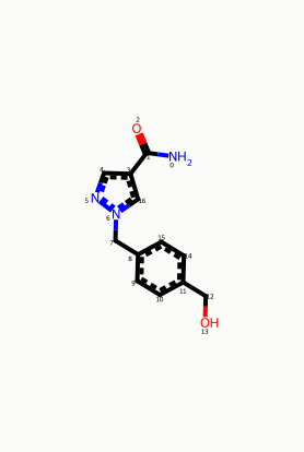 NC(=O)c1cnn(Cc2ccc(CO)cc2)c1